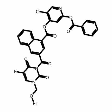 CCOCn1cc(F)c(=O)n(C(=O)c2cc(C(=O)Oc3cc(OC(=O)c4ccccc4)ncc3Cl)c3ccccc3c2)c1=O